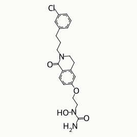 NC(=O)N(O)CCOc1ccc2c(c1)CCN(CCCc1cccc(Cl)c1)C2=O